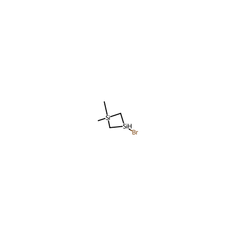 C[Si]1(C)C[SiH](Br)C1